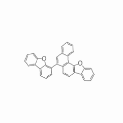 c1ccc2c(c1)cc(-c1cccc3c1oc1ccccc13)c1ccc3c4ccccc4oc3c12